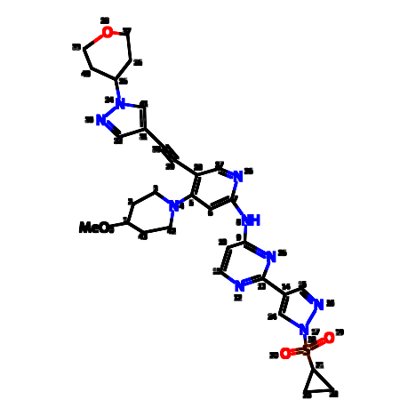 COC1CCN(c2cc(Nc3ccnc(-c4cnn(S(=O)(=O)C5CC5)c4)n3)ncc2C#Cc2cnn(C3CCOCC3)c2)CC1